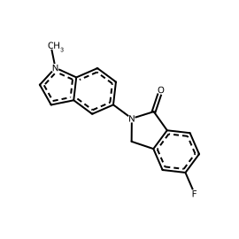 Cn1ccc2cc(N3Cc4cc(F)ccc4C3=O)ccc21